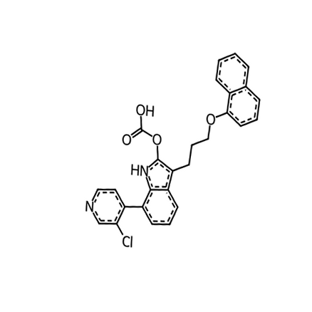 O=C(O)Oc1[nH]c2c(-c3ccncc3Cl)cccc2c1CCCOc1cccc2ccccc12